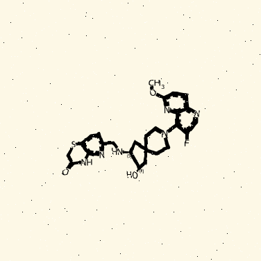 COc1ccc2ncc(F)c(N3CCC4(CC3)C[C@@H](O)[C@@H](NCc3ccc5c(n3)NC(=O)CS5)C4)c2n1